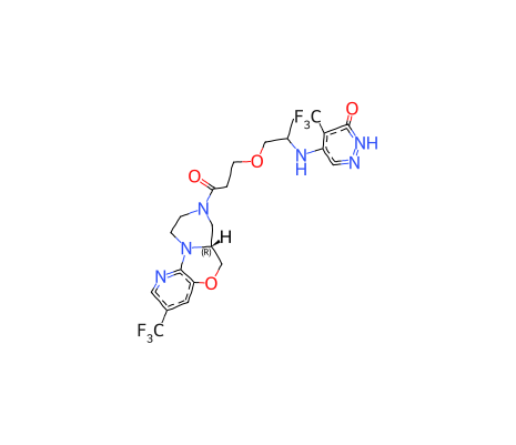 CC(COCCC(=O)N1CCN2c3ncc(C(F)(F)F)cc3OC[C@H]2C1)Nc1cn[nH]c(=O)c1C(F)(F)F